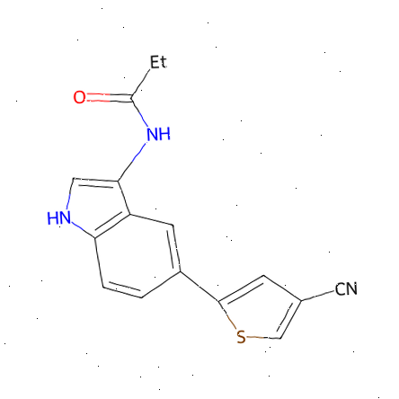 CCC(=O)Nc1c[nH]c2ccc(-c3cc(C#N)cs3)cc12